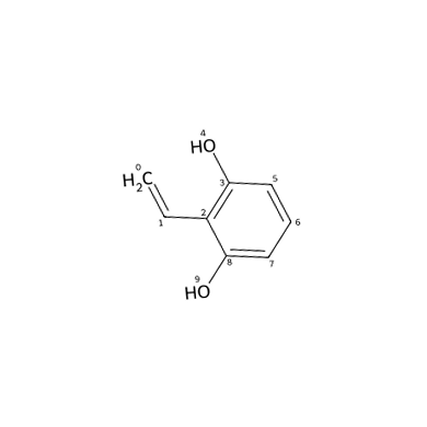 C=Cc1c(O)cccc1O